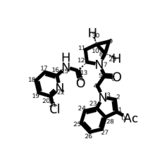 CC(=O)c1cn(CC(=O)N2[C@@H]3C[C@@H]3C[C@H]2C(=O)Nc2cccc(Cl)n2)c2ccccc12